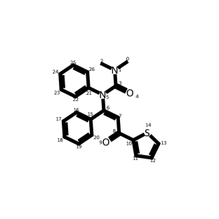 CN(C)C(=O)N(C(=CC(=O)c1cccs1)c1ccccc1)c1ccccc1